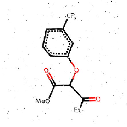 CCC(=O)C(Oc1cccc(C(F)(F)F)c1)C(=O)OC